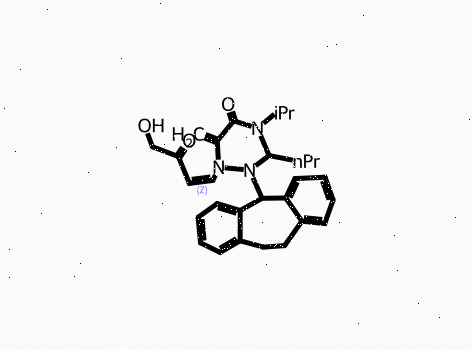 C=C1C(=O)N(C(C)C)C(CCC)N(C2c3ccccc3CCc3ccccc32)N1/C=C\C(=O)CO